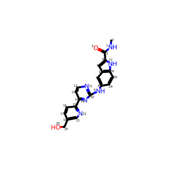 CNC(=O)c1cc2cc(Nc3nccc(-c4ccc(CO)cn4)n3)ccc2[nH]1